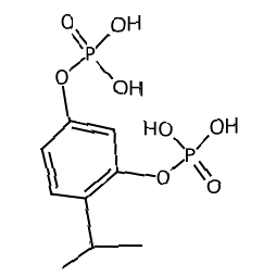 CC(C)c1ccc(OP(=O)(O)O)cc1OP(=O)(O)O